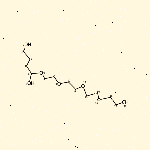 OCCCC(O)OCCOCCOCCOCCO